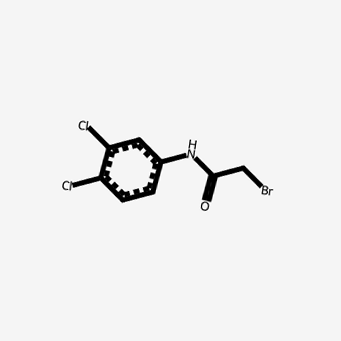 O=C(CBr)Nc1ccc(Cl)c(Cl)c1